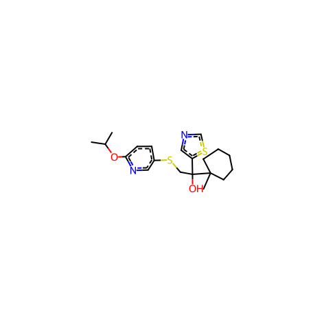 CC(C)Oc1ccc(SCC(O)(c2cncs2)C2(C)CCCCC2)cn1